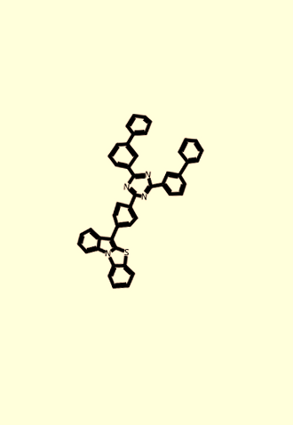 c1ccc(-c2cccc(-c3nc(-c4ccc(-c5c6ccccc6n6c5sc5ccccc56)cc4)nc(-c4cccc(-c5ccccc5)c4)n3)c2)cc1